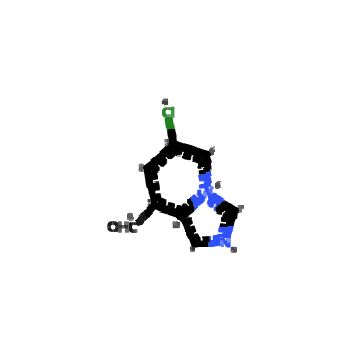 O=Cc1cc(Cl)cn2cncc12